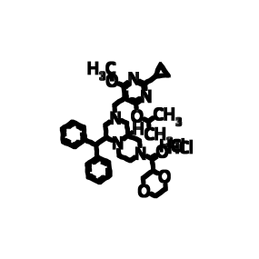 COc1nc(C2CC2)nc(OC(C)C)c1CN1CC(C(c2ccccc2)c2ccccc2)N2CCN(C(=O)C3COCCO3)C[C@H]2C1.Cl.Cl